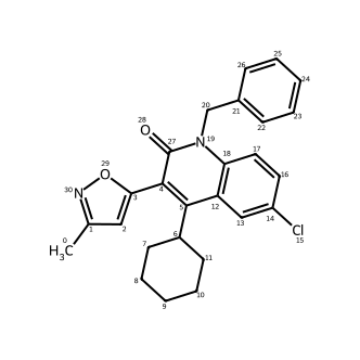 Cc1cc(-c2c(C3CCCCC3)c3cc(Cl)ccc3n(Cc3ccccc3)c2=O)on1